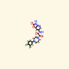 O=C(Nc1cnc2[nH]c(=O)oc2c1)C(=O)N1CCCN(c2ccc(F)c(F)c2)CC1